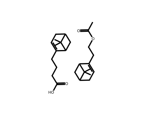 CC(=O)OCCC1=CCC2CC1C2(C)C.CC1(C)C2CC=C(CCCC(=O)O)C1C2